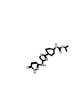 CC(C)OC(=O)NC1CCC(C2=NC(Nc3ccc(=O)[nH]n3)CS2)CC1